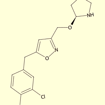 Fc1ccc(Cc2cc(CO[C@H]3CCCN3)no2)cc1Cl